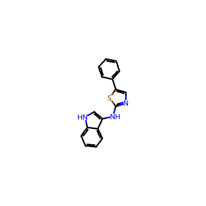 c1ccc(-c2cnc(Nc3c[nH]c4ccccc34)s2)cc1